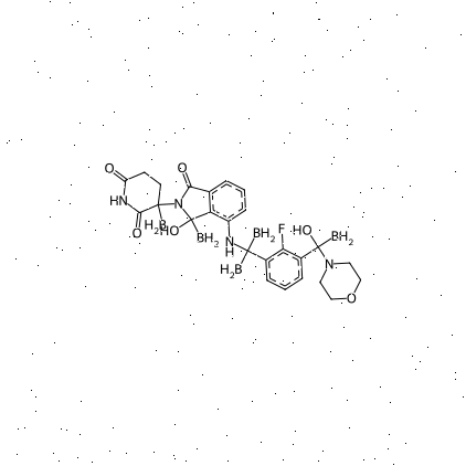 BC(B)(Nc1cccc2c1C(B)(O)N(C1(B)CCC(=O)NC1=O)C2=O)c1cccc(C(B)(O)N2CCOCC2)c1F